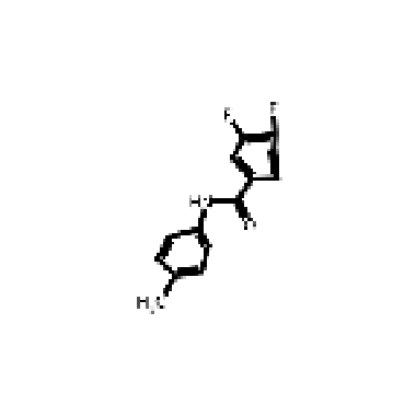 Cc1ccc(NC(=O)c2ccc(F)c(F)c2)cc1